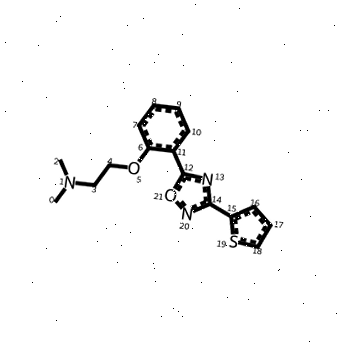 CN(C)CCOc1ccccc1-c1nc(-c2cccs2)no1